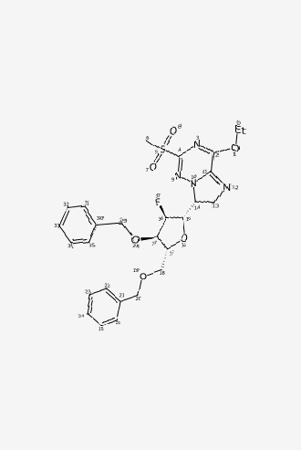 CCOC1=NC(S(C)(=O)=O)=NN2C1=NCC2[C@@H]1O[C@H](COCc2ccccc2)[C@@H](OCc2ccccc2)[C@H]1F